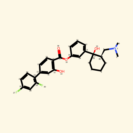 CN(C)C[C@H]1CCCC[C@]1(O)c1cccc(OC(=O)c2ccc(-c3ccc(F)cc3F)cc2O)c1